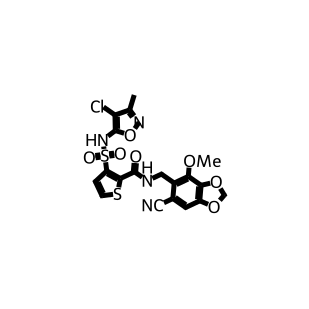 COc1c(CNC(=O)c2sccc2S(=O)(=O)Nc2onc(C)c2Cl)c(C#N)cc2c1OCO2